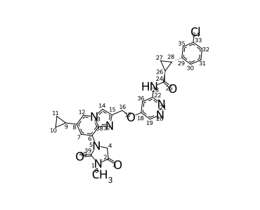 CN1C(=O)CN(c2cc(C3CC3)cn3cc(COc4cnnc(NC(=O)[C@H]5C[C@@H]5c5cccc(Cl)c5)c4)nc23)C1=O